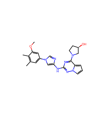 COc1cc(-n2cnc(Nc3nc(N4CC[C@@H](O)C4)c4cccn4n3)c2)cc(C)c1C